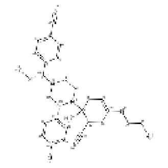 CC1(N2CCN([C@H](CO)c3ccc(C#N)cc3)C[C@H]2c2ccc(Cl)cc2)CC=C(OCCO)C=C1C#N